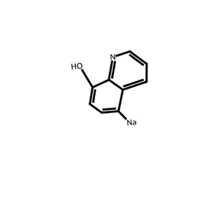 Oc1cc[c]([Na])c2cccnc12